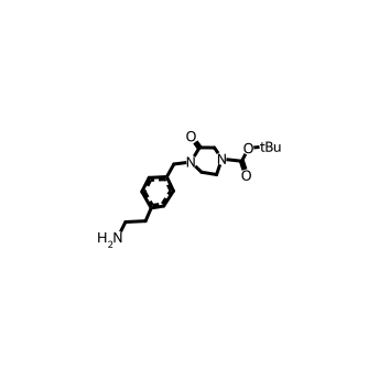 CC(C)(C)OC(=O)N1CCN(Cc2ccc(CCN)cc2)C(=O)C1